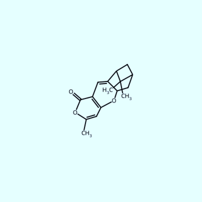 Cc1cc2c(c(=O)o1)C=C1C(CC3CC1C3(C)C)O2